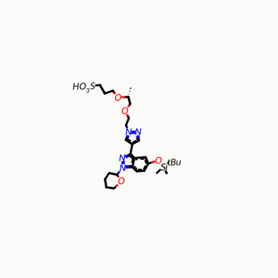 C[C@H](COCCn1cc(-c2nn(C3CCCCO3)c3ccc(O[Si](C)(C)C(C)(C)C)cc23)cn1)OCCCS(=O)(=O)O